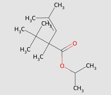 CC(C)=CC(C)(C(=O)OC(C)C)C(C)(C)C